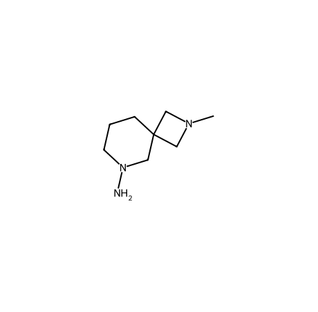 CN1CC2(CCCN(N)C2)C1